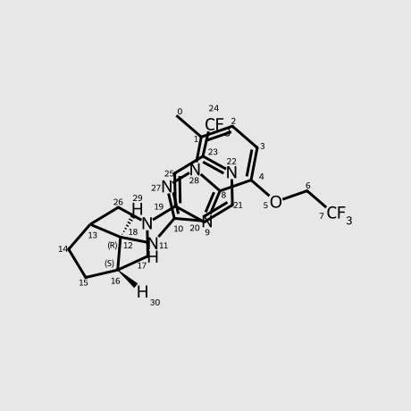 Cc1ccc(OCC(F)(F)F)c2nc(N[C@@H]3C4CC[C@H]3CN(c3ccnc(C(F)(F)F)c3)C4)nn12